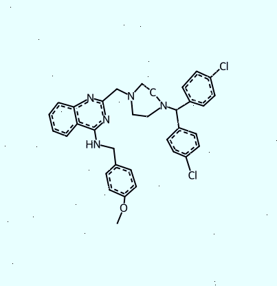 COc1ccc(CNc2nc(CN3CCN(C(c4ccc(Cl)cc4)c4ccc(Cl)cc4)CC3)nc3ccccc23)cc1